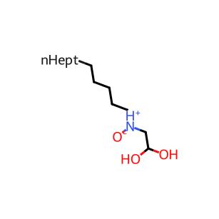 CCCCCCCCCCCC[NH+]([O-])CC(O)O